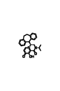 CC(C)N1C[C@H](C2c3ccccc3CCc3ccccc32)n2ccc(=O)c(O)c2C1=O